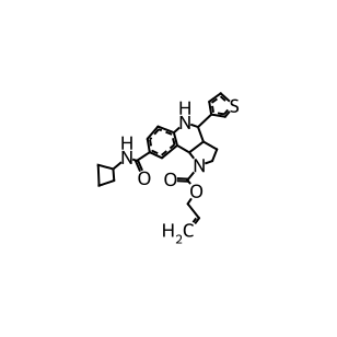 C=CCOC(=O)N1CCC2C(c3ccsc3)Nc3ccc(C(=O)NC4CCC4)cc3C21